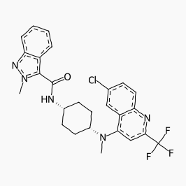 Cn1nc2ccccc2c1C(=O)N[C@H]1CC[C@@H](N(C)c2cc(C(F)(F)F)nc3ccc(Cl)cc23)CC1